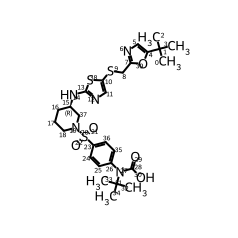 CC(C)(C)c1cnc(CSc2cnc(N[C@@H]3CCCN(S(=O)(=O)c4ccc(N(C(=O)O)C(C)(C)C)cc4)C3)s2)o1